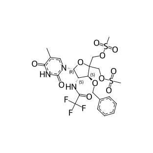 Cc1cn([C@@H]2OC(COS(C)(=O)=O)(COS(C)(=O)=O)[C@@H](OCc3ccccc3)[C@@H]2NC(=O)C(F)(F)F)c(=O)[nH]c1=O